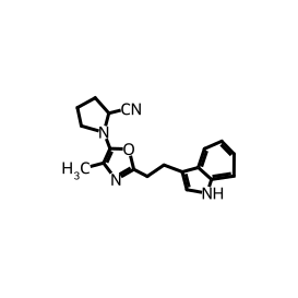 Cc1nc(CCc2c[nH]c3ccccc23)oc1N1CCCC1C#N